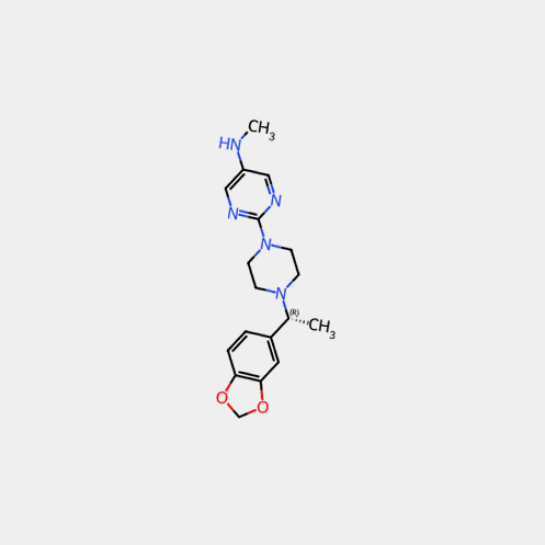 CNc1cnc(N2CCN([C@H](C)c3ccc4c(c3)OCO4)CC2)nc1